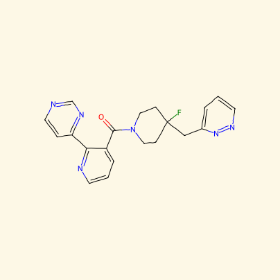 O=C(c1cccnc1-c1ccncn1)N1CCC(F)(Cc2cccnn2)CC1